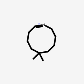 CC1(C)CCC/C=N\CCCC1